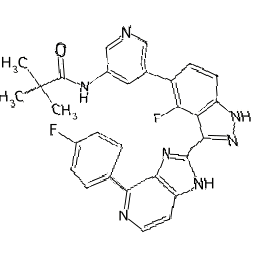 CC(C)(C)C(=O)Nc1cncc(-c2ccc3[nH]nc(-c4nc5c(-c6ccc(F)cc6)nccc5[nH]4)c3c2F)c1